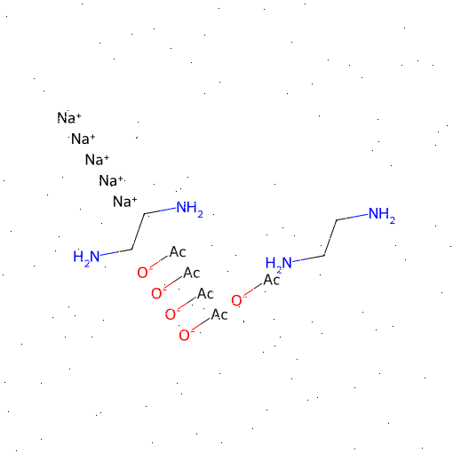 CC(=O)[O-].CC(=O)[O-].CC(=O)[O-].CC(=O)[O-].CC(=O)[O-].NCCN.NCCN.[Na+].[Na+].[Na+].[Na+].[Na+]